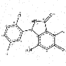 Cn1c2c(c(N)cc1=O)C(c1cc(F)ccc1Cl)NC2=O